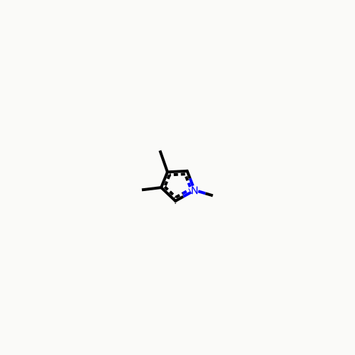 Cc1[c]n(C)cc1C